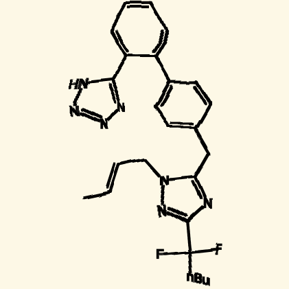 C/C=C/Cn1nc(C(F)(F)CCCC)nc1Cc1ccc(-c2ccccc2-c2nnn[nH]2)cc1